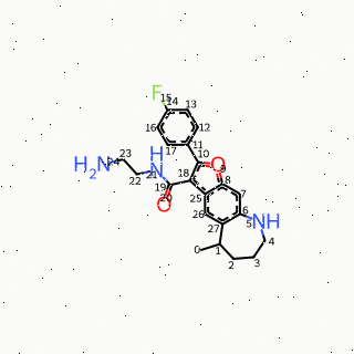 CC1CCCNc2cc3oc(-c4ccc(F)cc4)c(C(=O)NCCN)c3cc21